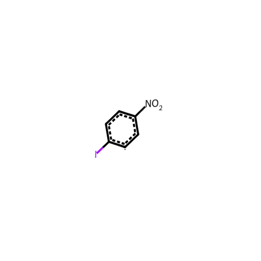 O=[N+]([O-])c1c[c]c(I)cc1